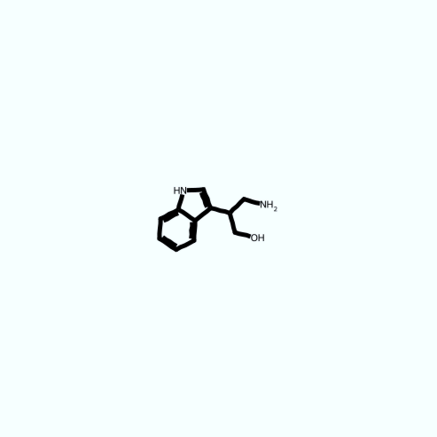 NCC(CO)c1c[nH]c2ccccc12